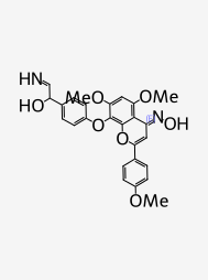 COc1ccc(-c2c/c(=N\O)c3c(OC)cc(OC)c(Oc4ccc(C(O)C=N)cc4)c3o2)cc1